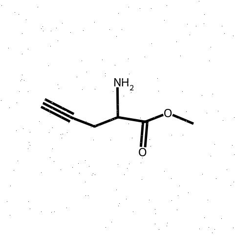 C#CCC(N)C(=O)OC